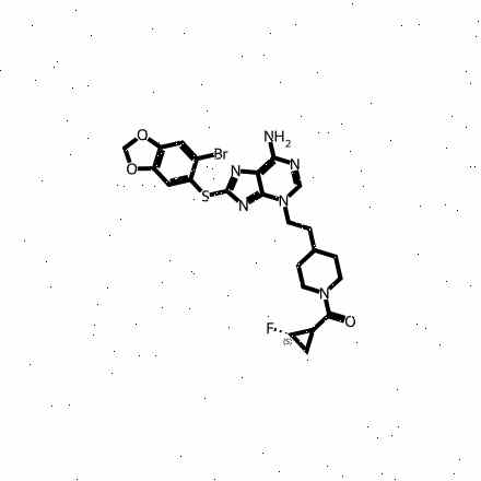 Nc1ncn(CCC2CCN(C(=O)C3C[C@@H]3F)CC2)c2nc(Sc3cc4c(cc3Br)OCO4)nc1-2